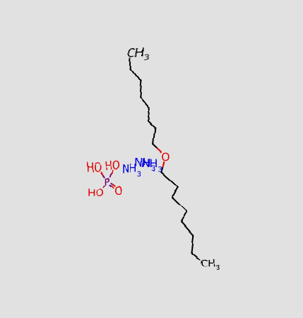 CCCCCCCCOCCCCCCCC.N.N.N.O=P(O)(O)O